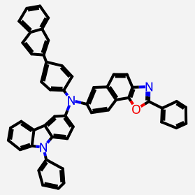 c1ccc(-c2nc3ccc4cc(N(c5ccc(-c6ccc7ccccc7c6)cc5)c5ccc6c(c5)c5ccccc5n6-c5ccccc5)ccc4c3o2)cc1